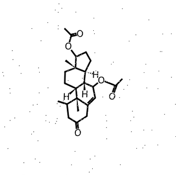 CC(=O)OC1C=C2CC(=O)CC(C)[C@]2(C)[C@@H]2CC[C@]3(C)C(OC(C)=O)CC[C@H]3[C@H]12